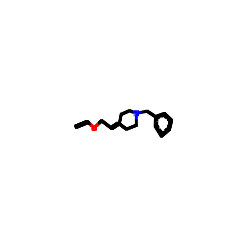 C=COCC=C1CCN(Cc2ccccc2)CC1